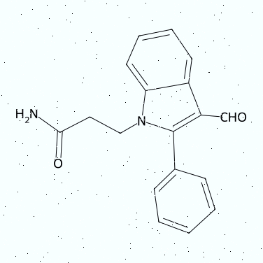 NC(=O)CCn1c(-c2ccccc2)c(C=O)c2ccccc21